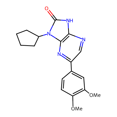 COc1ccc(-c2cnc3[nH]c(=O)n(C4CCCC4)c3n2)cc1OC